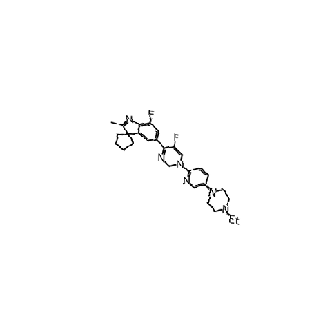 CCN1CCN(c2ccc(N3C=C(F)C(c4cc(F)c5c(c4)C4(CCCC4)C(C)=N5)=NC3)nc2)CC1